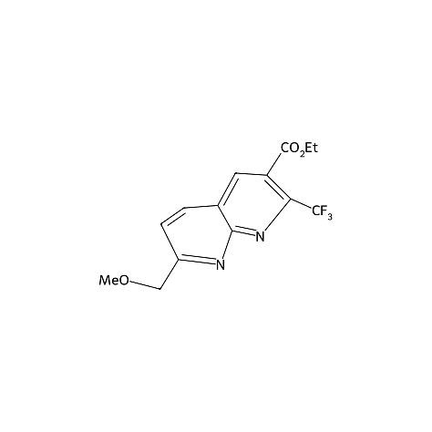 CCOC(=O)c1cc2ccc(COC)nc2nc1C(F)(F)F